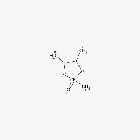 CC1=CP(C)(=O)CC1C